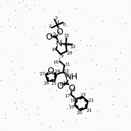 CC(C)(C)OC(=O)N1C[C@@H](CCC(NC(=O)OCc2ccccc2)c2ccco2)CC1(C)C